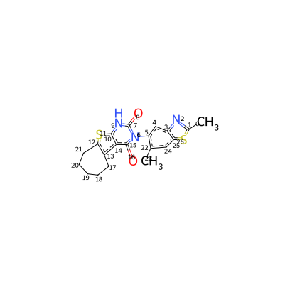 Cc1nc2cc(-n3c(=O)[nH]c4sc5c(c4c3=O)CCCCC5)c(C)cc2s1